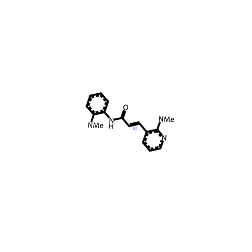 CNc1ccccc1NC(=O)/C=C/c1cccnc1NC